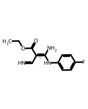 CCOC(=O)/C(C=N)=C(\N)Nc1ccc(F)cc1